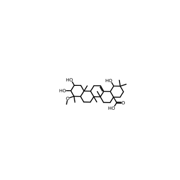 COC1(C)C(O)C(O)CC2(C)C1CCC1(C)C2CC=C2C3C(O)C(C)(C)CCC3(C(=O)O)CCC21C